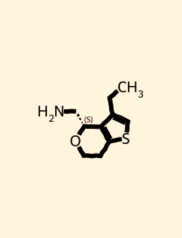 CCc1csc2c1[C@@H](CN)OCC2